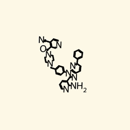 N#Cc1ccncc1C(=O)N1CCN(Cc2ccc(-n3c(-c4cccnc4N)nc4ccc(-c5ccccc5)nc43)cc2)CC1